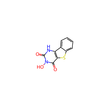 O=c1[nH]c2c(sc3ccccc32)c(=O)n1O